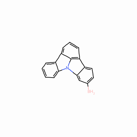 Bc1ccc2c3cccc4c5ccccc5n(c2c1)c43